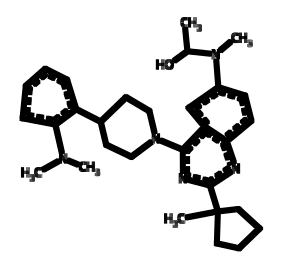 CC(O)N(C)c1ccc2nc(C3(C)CCCC3)nc(N3CCC(c4ccccc4N(C)C)CC3)c2c1